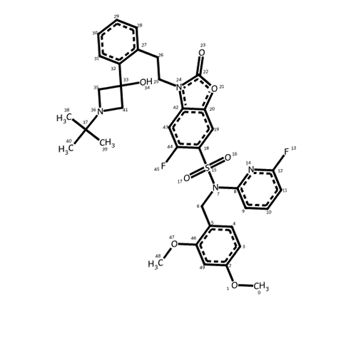 COc1ccc(CN(c2cccc(F)n2)S(=O)(=O)c2cc3oc(=O)n(CCc4ccccc4C4(O)CN(C(C)(C)C)C4)c3cc2F)c(OC)c1